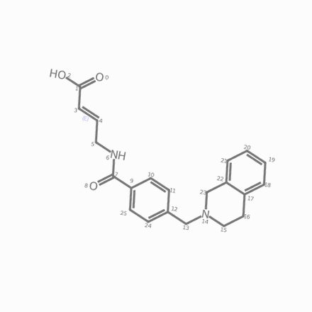 O=C(O)/C=C/CNC(=O)c1ccc(CN2CCc3ccccc3C2)cc1